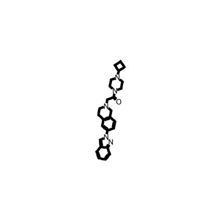 O=C(CN1CCc2cc(-n3cc4ccccc4n3)ccc2C1)N1CCN(C2CCC2)CC1